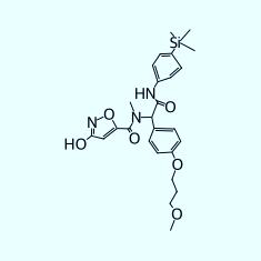 COCCCOc1ccc(C(C(=O)Nc2ccc([Si](C)(C)C)cc2)N(C)C(=O)c2cc(O)no2)cc1